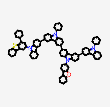 c1ccc(-c2cc(-n3c4ccccc4c4cc(-c5ccc6c(c5)c5cc(-c7ccc8c(c7)c7cc(-c9ccc%10c(c9)c9ccccc9n%10-c9ccccc9)ccc7n8-c7ccc8c(c7)oc7ccccc78)ccc5n6-c5ccccc5)ccc43)cc3c2sc2ccccc23)cc1